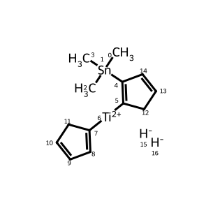 [CH3][Sn]([CH3])([CH3])[C]1=[C]([Ti+2][C]2=CC=CC2)CC=C1.[H-].[H-]